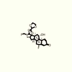 C[C@@H]1C[C@H]2[C@@H]3C[C@H](F)C4=CC(=O)C=C[C@]4(C)[C@@]3(F)[C@@H](O)C[C@]2(C)[C@@]1(OC(=O)C1OCCO1)C(=O)SCF